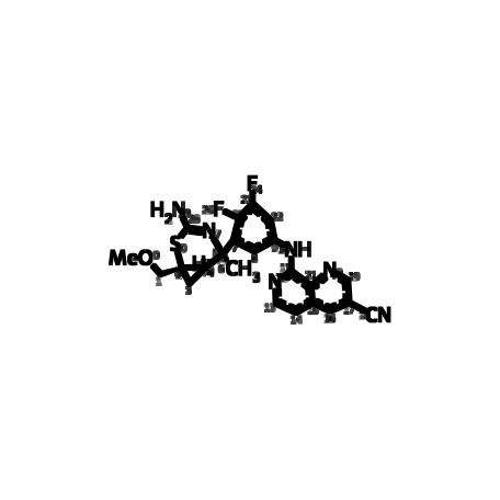 COC[C@]12C[C@H]1[C@](C)(c1cc(Nc3nccc4cc(C#N)cnc34)cc(F)c1F)N=C(N)S2